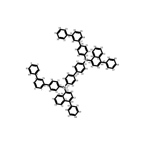 c1ccc(-c2cccc(-c3ccc(N(c4ccc(-c5ccc(N(c6ccc(-c7cccc(-c8ccccc8)c7)cc6)c6ccc(-c7ccccc7)c7ccccc67)cc5)cc4)c4ccc(-c5ccccc5)c5ccccc45)cc3)c2)cc1